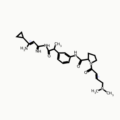 CC(C(=O)NC(=N)/C=C(\N)C1CC1)c1cccc(NC(=O)C2CCCN2C(=O)/C=C/CN(C)C)c1